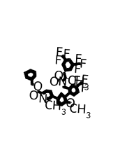 COc1ccc(-c2ccc(C(=O)OCc3ccccc3)nc2C)cc1-c1ccc(C(F)(F)F)cc1CN1C(=O)O[C@H](c2cc(C(F)(F)F)cc(C(F)(F)F)c2)[C@@H]1C